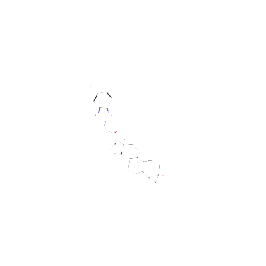 C[C@]12CC[C@@H]3[C@H]4CC[C@]5(O)CC5[C@H]4CC[C@H]3[C@@H]1CC[C@@H]2C(=O)Cn1nc2ccc(F)cc2n1